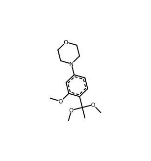 COc1cc(N2CCOCC2)ccc1C(C)(OC)OC